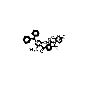 CC1CN(C(c2ccccc2)c2ccccc2)CC(C)N1C(=O)c1ccc2c(c1)C(=O)N(C1CCC(=O)NC1=O)C2=O